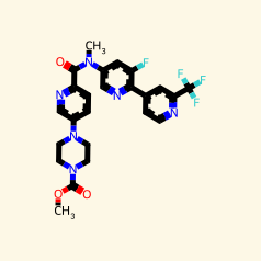 COC(=O)N1CCN(c2ccc(C(=O)N(C)c3cnc(-c4ccnc(C(F)(F)F)c4)c(F)c3)nc2)CC1